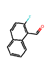 O=[C]c1c(F)ccc2ccccc12